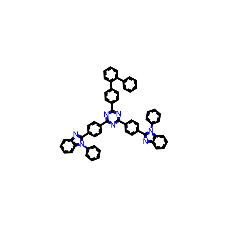 c1ccc(-c2ccccc2-c2ccc(-c3nc(-c4ccc(-c5nc6ccccc6n5-c5ccccc5)cc4)nc(-c4ccc(-c5nc6ccccc6n5-c5ccccc5)cc4)n3)cc2)cc1